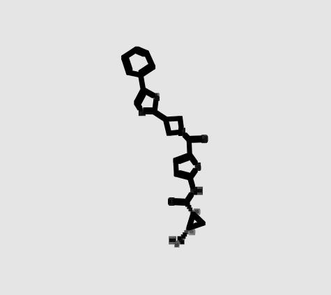 N[C@H]1C[C@H]1C(=O)Nc1ccc(C(=O)N2CC(c3ncc(-c4ccccc4)s3)C2)s1